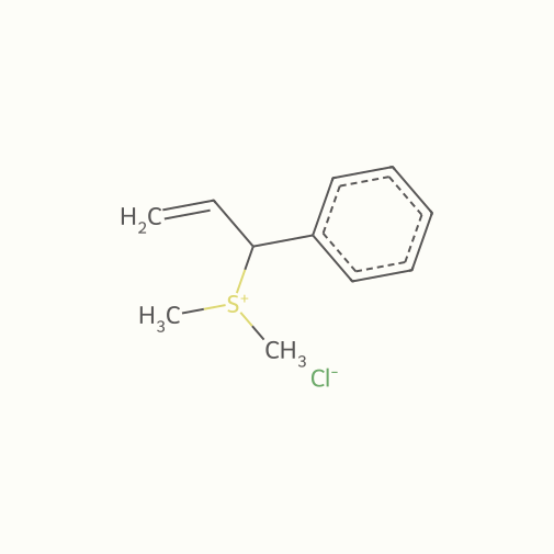 C=CC(c1ccccc1)[S+](C)C.[Cl-]